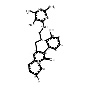 N#Cc1c(N)nc(N)nc1NCCCc1cc2ccc(F)cn2c(=O)c1-c1cccc(F)c1